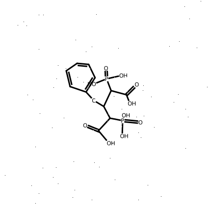 O=C(O)C(C(Cc1ccccc1)C(C(=O)O)P(=O)(O)O)P(=O)(O)O